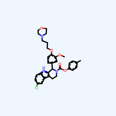 COc1cc(C2c3[nH]c4ccc(Cl)cc4c3CCN2C(=O)Oc2ccc(C)cc2)ccc1OCCCN1CCOCC1